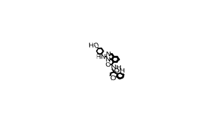 O=C(NCC1(O)CCOc2ccccc21)c1cccc2cnc(N[C@H]3CC[C@H](O)CC3)nc12